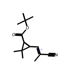 C/C(C#N)=C\C1C(C(=O)OC(C)(C)C)C1(C)C